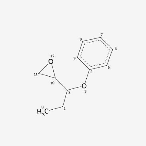 CCC(Oc1ccccc1)C1CO1